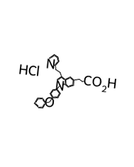 Cl.O=C(O)CCc1ccc2c(c1)c(CCc1ccccn1)cn2-c1ccc(Oc2ccccc2)cc1